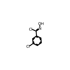 ON=C(Cl)c1cccc(Cl)c1